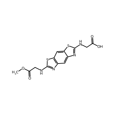 COC(=O)CNc1nc2cc3nc(NCC(=O)O)sc3cc2s1